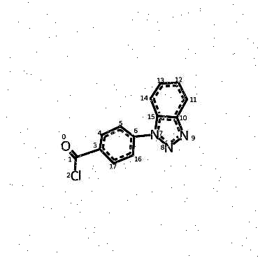 O=C(Cl)c1ccc(-n2nnc3ccccc32)cc1